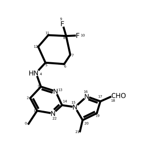 Cc1cc(NC2CCC(F)(F)CC2)nc(-n2nc(C=O)cc2C)n1